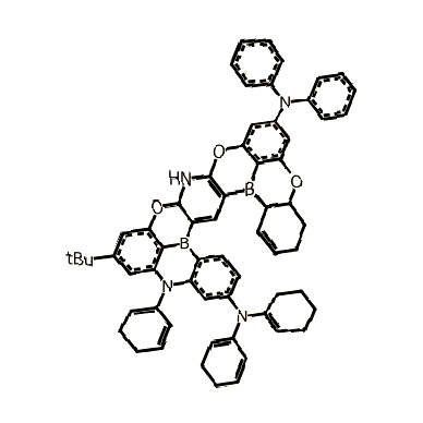 CC(C)(C)c1cc2c3c(c1)N(C1=CCCC=C1)c1cc(N(C4=CCCC=C4)C4=CCCCC4)ccc1B3C1=CC3=C(NC1O2)Oc1cc(N(c2ccccc2)c2ccccc2)cc2c1B3C1C=CCCC1O2